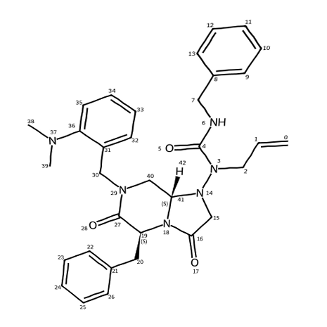 C=CCN(C(=O)NCc1ccccc1)N1CC(=O)N2[C@@H](Cc3ccccc3)C(=O)N(Cc3ccccc3N(C)C)C[C@@H]21